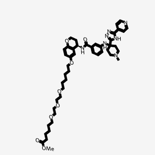 COC(=O)CCCCCOCCOCCOCCCCCCOc1ccc2c(c1)[C@H](NC(=O)c1cccc(NC3(c4nnc(-c5ccncc5)[nH]4)CCN(C)CC3)c1)CCO2